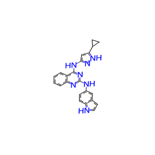 c1ccc2c(Nc3cc(C4CC4)[nH]n3)nc(Nc3ccc4[nH]ccc4c3)nc2c1